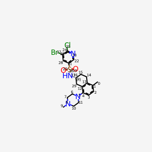 Cc1ccc(N2CCN(C)CC2)c2c1CC[C@@H](NS(=O)(=O)c1cnc(Cl)c(Br)c1)C2